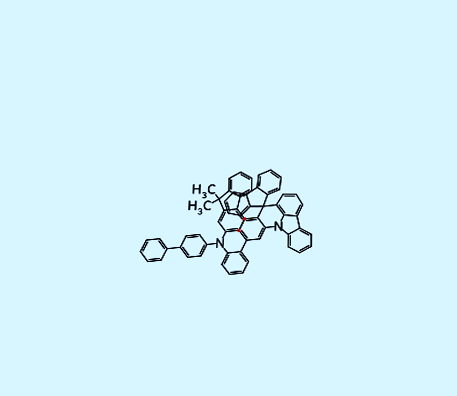 CC1(C)c2ccccc2-c2ccc(N(c3ccc(-c4ccccc4)cc3)c3ccccc3-c3ccc4c(c3)-n3c5ccccc5c5cccc(c53)C43c4ccccc4-c4ccccc43)cc21